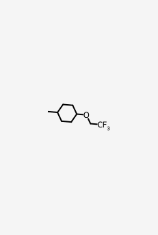 CC1CCC(OCC(F)(F)F)CC1